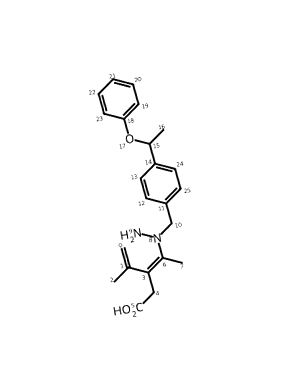 C=C(C)/C(CC(=O)O)=C(/C)N(N)Cc1ccc(C(C)Oc2ccccc2)cc1